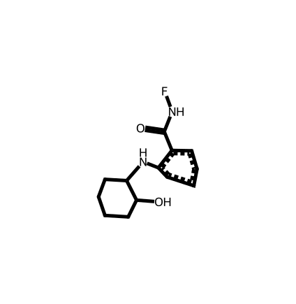 O=C(NF)c1ccccc1NC1CCCCC1O